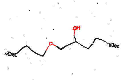 CCCCCCCCCCCCOCC(O)CCCCCCCCCCCC